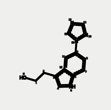 OCCc1c[nH]c2ccc(-n3cncn3)cc12